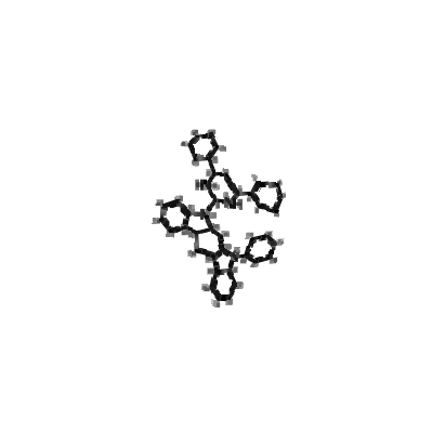 C1=C(c2ccccc2)NC(N2c3ccccc3C3C=c4c(n(-c5ccccc5)c5ccccc45)=CC32)NC1c1ccccc1